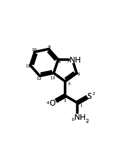 NC(=S)C(=O)c1c[nH]c2ccccc12